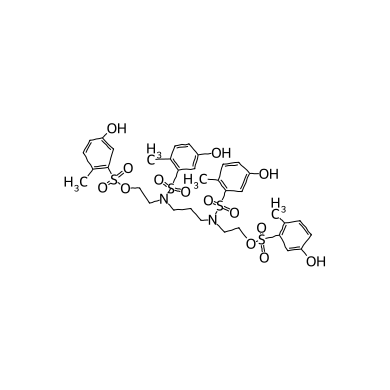 Cc1ccc(O)cc1S(=O)(=O)OCCN(CCCN(CCOS(=O)(=O)c1cc(O)ccc1C)S(=O)(=O)c1cc(O)ccc1C)S(=O)(=O)c1cc(O)ccc1C